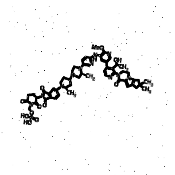 COc1ncc(-c2ccnc(N3CCn4c(cc5c4CC(C)(C)C5)C3=O)c2C(C)O)cc1Nc1ccc(N2CCN(C3CCN(c4ccc5c(c4)C(=O)N(C4CCC(=O)N(COP(=O)(O)O)C4=O)C5=O)[C@H](C)C3)C[C@@H]2C)cn1